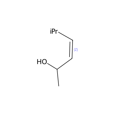 CC(C)/C=C\C(C)O